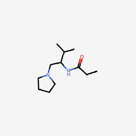 CCC(=O)NC(CN1CCCC1)C(C)C